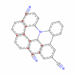 N#Cc1cccc(-c2ccccc2N(c2ccccc2-c2cccc(C#N)c2)c2ccccc2-c2cccc(C#N)c2)c1